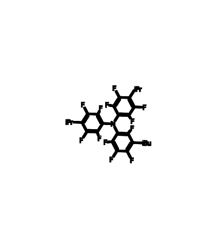 CCC(C)c1c(F)c(F)c(F)c(N(c2c(F)c(F)c(C(C)C)c(F)c2F)c2c(F)c(F)c(C(C)C)c(F)c2F)c1F